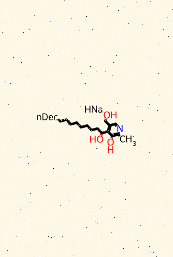 CCCCCCCCCCCCCCCCCCC(O)c1c(CO)cnc(C)c1O.[NaH]